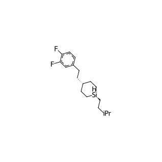 CC(C)CC[Si@H]1CC[C@H](CCc2ccc(F)c(F)c2)CC1